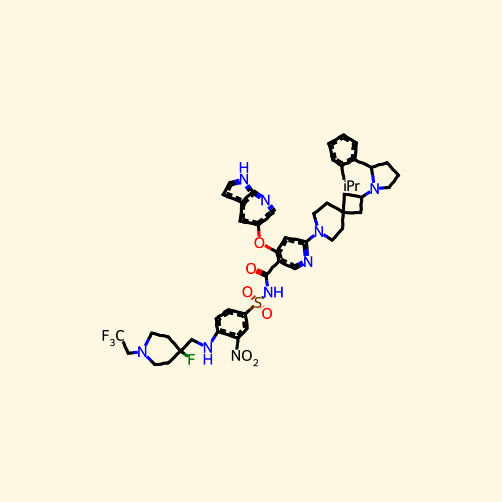 CC(C)c1ccccc1C1CCCN1C1CC2(CCN(c3cc(Oc4cnc5[nH]ccc5c4)c(C(=O)NS(=O)(=O)c4ccc(NCC5(F)CCN(CC(F)(F)F)CC5)c([N+](=O)[O-])c4)cn3)CC2)C1